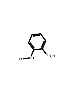 CCNc1ccccc1S(=O)(=O)O